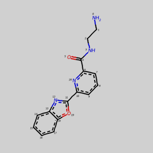 NCCNC(=O)c1cccc(-c2nc3ccccc3o2)n1